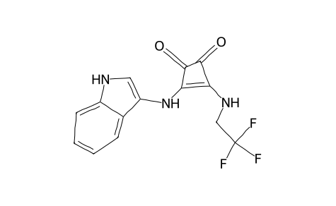 O=c1c(NCC(F)(F)F)c(Nc2c[nH]c3ccccc23)c1=O